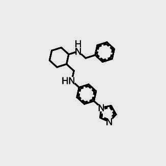 c1ccc(CNC2CCCCC2CNc2ccc(-n3ccnc3)cc2)cc1